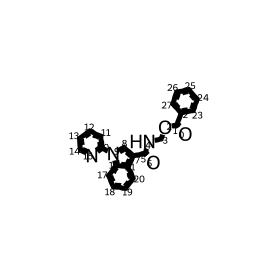 O=C(OCNC(=O)c1cn(-c2ccccn2)c2ccccc12)c1ccccc1